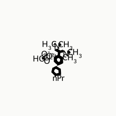 CCC[C@H]1CC[C@H](c2ccc(C(=CN(C)C)CN(C)C)cc2)CC1.[O-][Cl+3]([O-])([O-])O